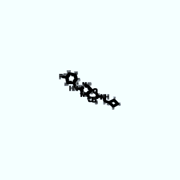 O=C(NCC1CCC1)Oc1cnc(Nc2cccc(F)c2)nc1C(F)(F)F